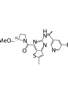 COC[C@@H]1CCN1C(=O)c1nc(N[C@@H](C)c2cncc(F)c2)nc2cc(C)sc12